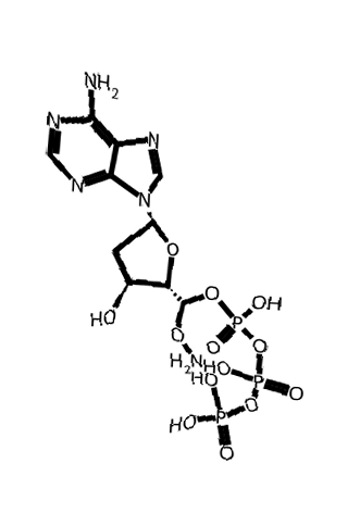 NOC(OP(=O)(O)OP(=O)(O)OP(=O)(O)O)[C@H]1O[C@@H](n2cnc3c(N)ncnc32)C[C@@H]1O